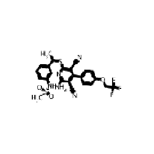 CC(Sc1nc(N)c(C#N)c(-c2ccc(OCC(F)(F)F)cc2)c1C#N)c1cccc(NS(C)(=O)=O)c1